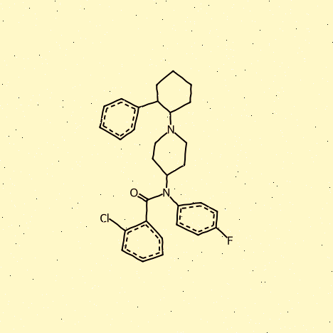 O=C(c1ccccc1Cl)N(c1ccc(F)cc1)C1CCN(C2CCCCC2c2ccccc2)CC1